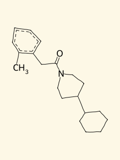 Cc1ccccc1CC(=O)N1CCC(C2CCCCC2)CC1